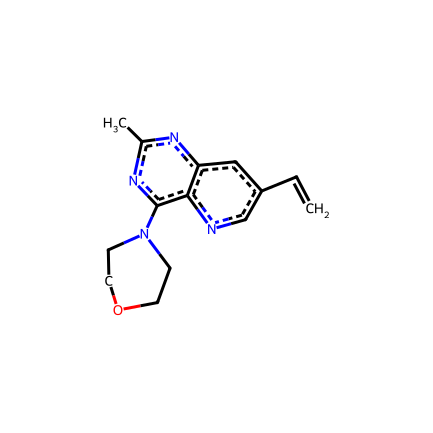 C=Cc1cnc2c(N3CCOCC3)nc(C)nc2c1